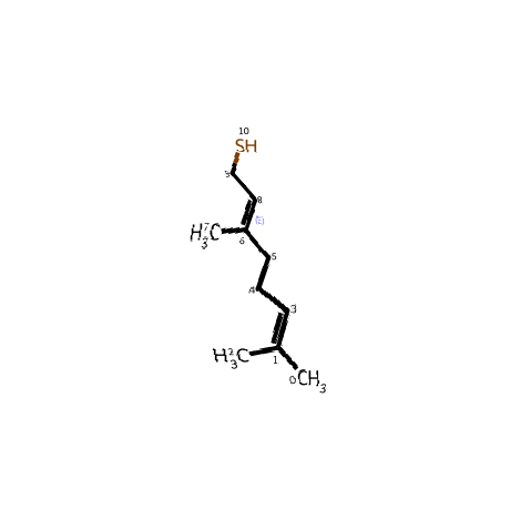 CC(C)=CCC/C(C)=C/CS